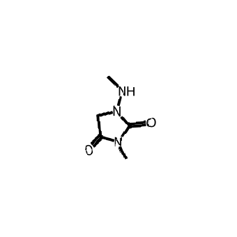 CNN1CC(=O)N(C)C1=O